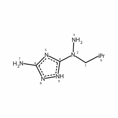 CC(C)CN(N)c1nc(N)n[nH]1